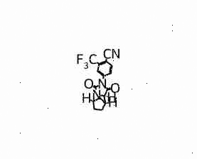 N#Cc1ccc(N2C(=O)[C@H]3[C@@H]4CC[C@@H](C4)N3C2=O)cc1C(F)(F)F